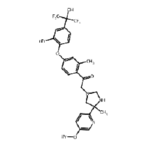 CCCc1cc(C(O)(C(F)(F)F)C(F)(F)F)ccc1Oc1ccc(C(=O)CN2CNC(C)(c3ccc(OC(C)C)cn3)C2)c(C)c1